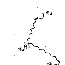 CCCC/C=C/C/C=C\CCCCCCCCC1(CCCCCCCCC=C=CCCCCC)CN(CCCC)C1